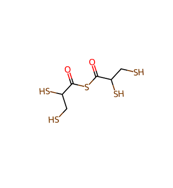 O=C(SC(=O)C(S)CS)C(S)CS